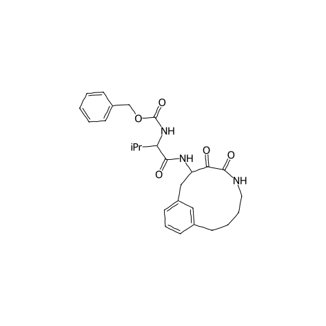 CC(C)C(NC(=O)OCc1ccccc1)C(=O)NC1Cc2cccc(c2)CCCCNC(=O)C1=O